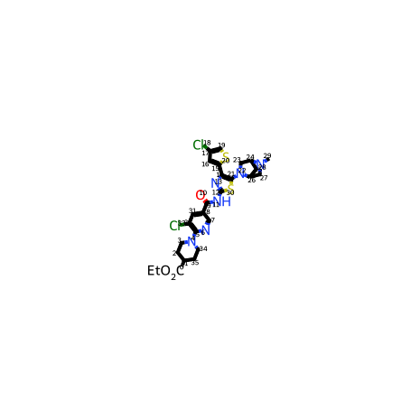 CCOC(=O)C1CCN(c2ncc(C(=O)Nc3nc(-c4cc(Cl)cs4)c(N4CC5CC4CN5C)s3)cc2Cl)CC1